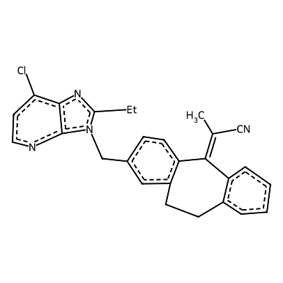 CCc1nc2c(Cl)ccnc2n1Cc1ccc2c(c1)CCc1ccccc1C2=C(C)C#N